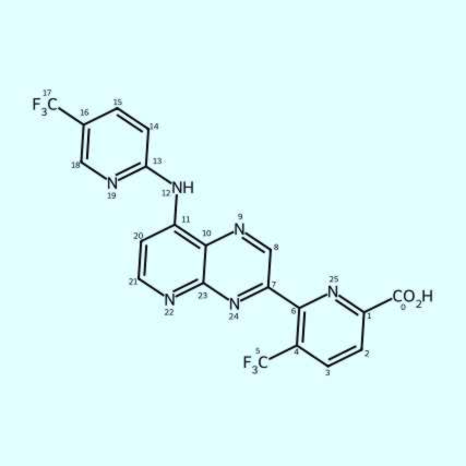 O=C(O)c1ccc(C(F)(F)F)c(-c2cnc3c(Nc4ccc(C(F)(F)F)cn4)ccnc3n2)n1